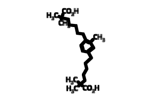 Cc1cc(CCCCCC(C)(C)C(=O)O)ccc1CCCCCC(C)(C)C(=O)O